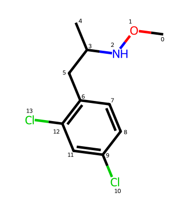 CONC(C)Cc1ccc(Cl)cc1Cl